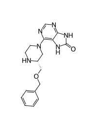 O=c1[nH]c2ncnc(N3CCN[C@@H](COCc4ccccc4)C3)c2[nH]1